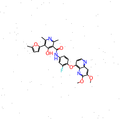 COc1cc2nccc(Oc3ccc(NC(=O)c4c(C)nc(C)c(-c5ccc(C)o5)c4O)cc3F)c2nc1OC